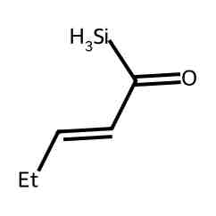 CCC=CC(=O)[SiH3]